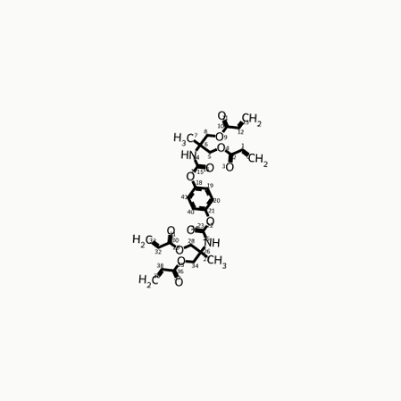 C=CC(=O)OCC(C)(COC(=O)C=C)NC(=O)Oc1ccc(OC(=O)NC(C)(COC(=O)C=C)COC(=O)C=C)cc1